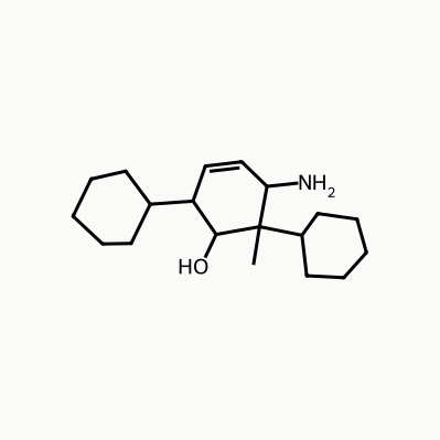 CC1(C2CCCCC2)C(N)C=CC(C2CCCCC2)C1O